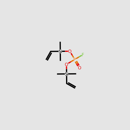 C=C[Si](C)(C)OP(=O)(F)O[Si](C)(C)C=C